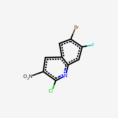 O=[N+]([O-])c1cc2cc(Br)c(F)cc2nc1Cl